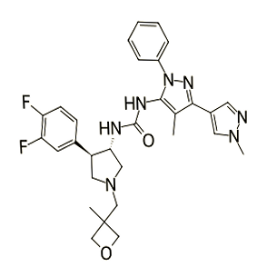 Cc1c(-c2cnn(C)c2)nn(-c2ccccc2)c1NC(=O)N[C@@H]1CN(CC2(C)COC2)C[C@H]1c1ccc(F)c(F)c1